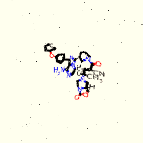 CC(C)(C=C(C#N)C(=O)N1CCC[C@@H](c2nc(-c3ccc(Oc4ccccc4)cc3)c3c(N)nccn23)C1)N1CCN2C(=O)OC[C@@H]2C1